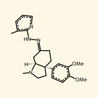 COc1ccc([C@@]23CC/C(=N/Nc4ncccc4C)C[C@@H]2N(C)CC3)cc1OC